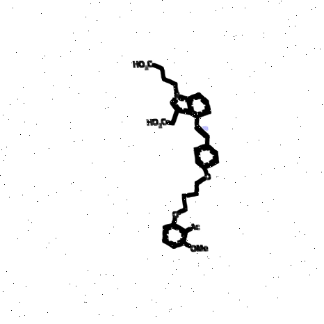 COc1cccc(OCCCCOc2ccc(/C=C/c3cccc4c3c(CC(=O)O)cn4CCCC(=O)O)cc2)c1C(C)=O